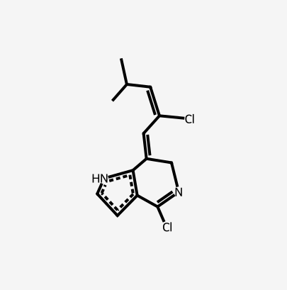 CC(C)/C=C(Cl)\C=C1/CN=C(Cl)c2cc[nH]c21